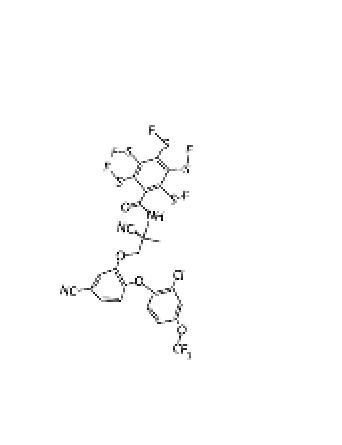 C[C@](C#N)(COc1cc(C#N)ccc1Oc1ccc(OC(F)(F)F)cc1Cl)NC(=O)c1c(SF)c(SF)c(SF)c(SF)c1SF